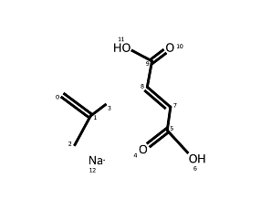 C=C(C)C.O=C(O)C=CC(=O)O.[Na]